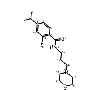 CC(C)c1ccc(C(=O)NCCCN2CCOCC2)c(F)c1